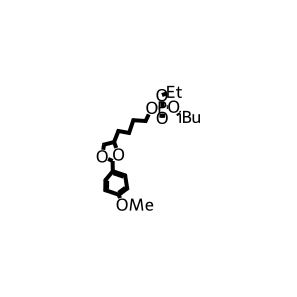 CCOP(=O)(OCCCCC1COC(c2ccc(OC)cc2)O1)OC(C)CC